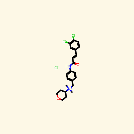 C[N+](C)(Cc1ccc(NC(=O)C=Cc2ccc(Cl)c(Cl)c2)cc1)C1CCOCC1.[Cl-]